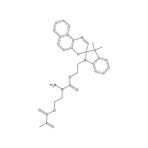 C=C(C)C(=O)OCCN(N)C(=O)OCCN1c2ccccc2C(C)(C)C12C=Nc1c(ccc3ccccc13)O2